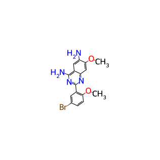 COc1cc2nc(-c3cc(Br)ccc3OC)nc(N)c2cc1N